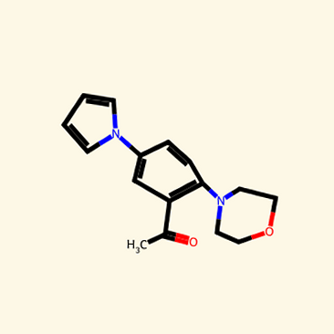 CC(=O)c1cc(-n2cccc2)ccc1N1CCOCC1